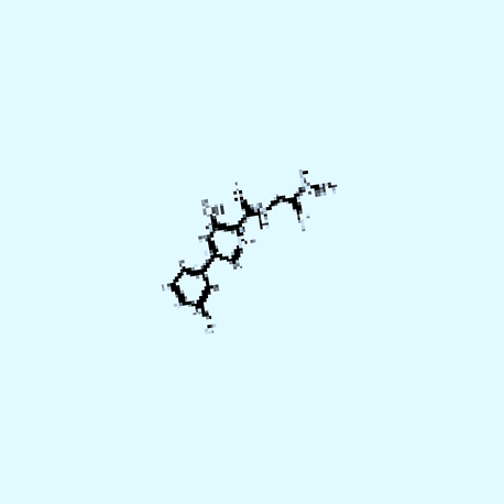 CC(C)NC(=O)CNC(=O)c1ncc(-c2cccc(Cl)c2)cc1O